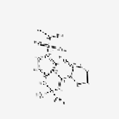 CC1(C)C=C(N2CCCCC2=O)c2cc(S(=O)(=O)C(F)F)ccc2O1